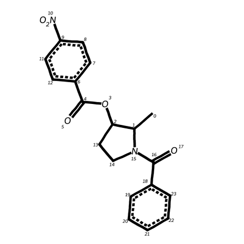 CC1C(OC(=O)c2ccc([N+](=O)[O-])cc2)CCN1C(=O)c1ccccc1